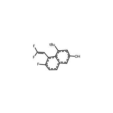 CC(C)(C)c1cc(O)cc2ccc(F)c(C=C(F)F)c12